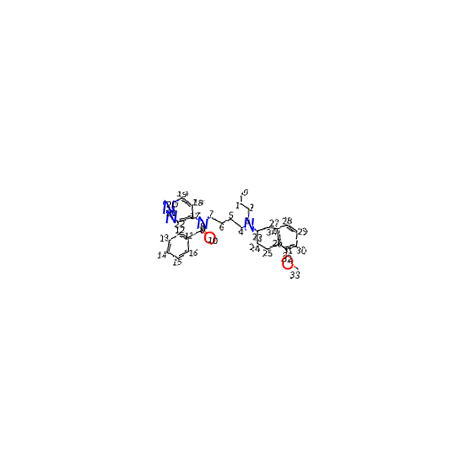 CCCN(CCCCN(C(=O)c1ccccc1)c1ccnnc1)[C@@H]1CCc2c(cccc2OC)C1